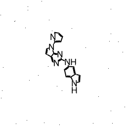 c1ccc(-n2ccc3cnc(Nc4ccc5[nH]ccc5c4)nc32)nc1